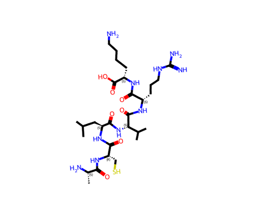 CC(C)C[C@H](NC(=O)[C@H](CS)NC(=O)[C@H](C)N)C(=O)N[C@H](C(=O)N[C@@H](CCCNC(=N)N)C(=O)N[C@@H](CCCCN)C(=O)O)C(C)C